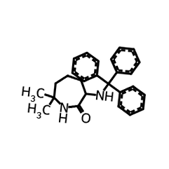 CC1(C)CCCC(NC(c2ccccc2)(c2ccccc2)c2ccccc2)C(=O)N1